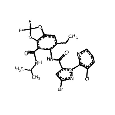 CCc1cc2c(c(C(=O)NC(C)C)c1NC(=O)c1cc(Br)nn1-c1ncccc1Cl)OC(F)(F)O2